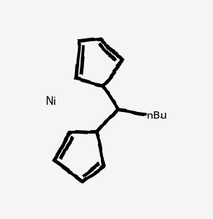 C[CH]CCC(C1C=CC=C1)C1C=CC=C1.[Ni]